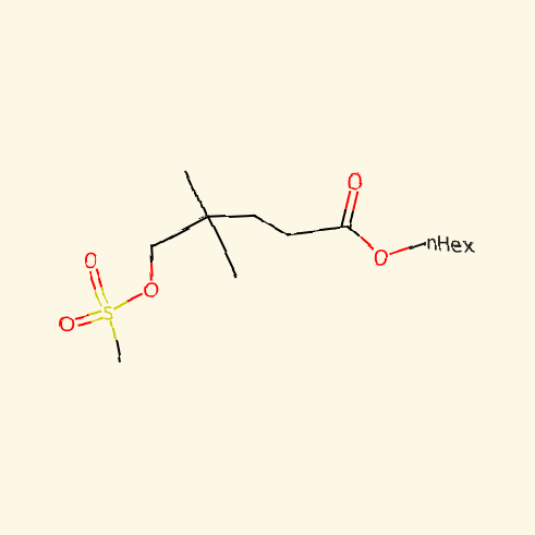 CCCCCCOC(=O)CCC(C)(C)COS(C)(=O)=O